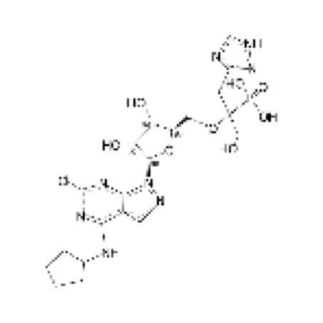 O=P(O)(O)C(CO)(Cc1nc[nH]n1)OC[C@H]1O[C@@H](n2ncc3c(NC4CCCC4)nc(Cl)nc32)[C@H](O)[C@@H]1O